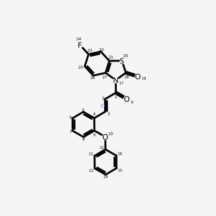 O=C(/C=C/c1ccccc1Oc1ccccc1)n1c(=O)sc2cc(F)ccc21